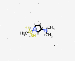 CN(C)C1CCN(S(C)(S)S)C1